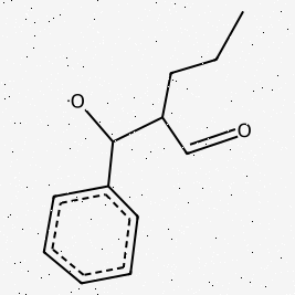 CCCC(C=O)C([O])c1ccccc1